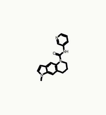 Cn1ccc2cc3c(cc21)CCCN3C(=O)Nc1cccnc1